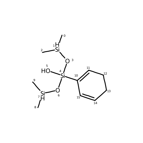 C[SiH](C)O[Si](O)(O[SiH](C)C)C1=CCCC=C1